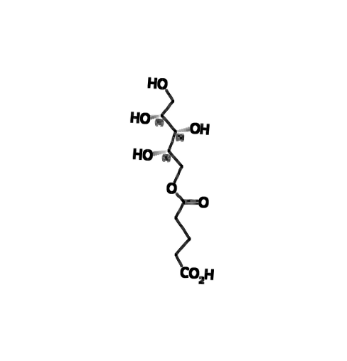 O=C(O)CCCC(=O)OC[C@H](O)[C@@H](O)[C@H](O)CO